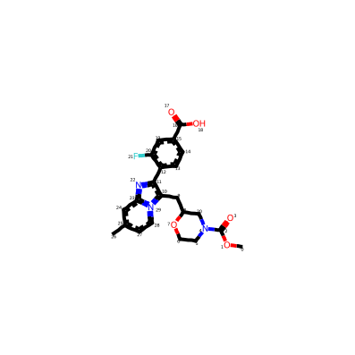 COC(=O)N1CCOC(Cc2c(-c3ccc(C(=O)O)cc3F)nc3cc(C)ccn23)C1